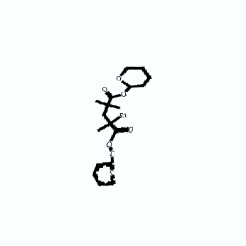 CCC(C)(CC(C)(C)C(=O)OC1CCCCO1)C(=O)OCc1ccccc1